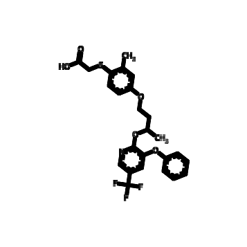 Cc1cc(OCCC(C)Oc2ncc(C(F)(F)F)cc2Oc2ccccc2)ccc1SCC(=O)O